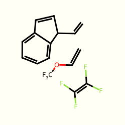 C=CC1C=Cc2ccccc21.C=COC(F)(F)F.FC(F)=C(F)F